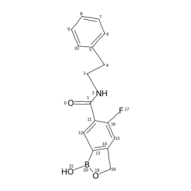 O=C(NCCc1ccccc1)c1cc2c(cc1F)COB2O